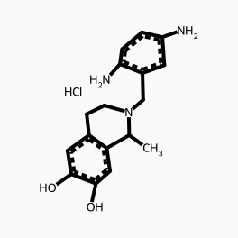 CC1c2cc(O)c(O)cc2CCN1Cc1cc(N)ccc1N.Cl